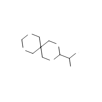 BrC(Br)C1OCC2(COCOC2)CO1